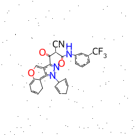 N#CC(C(=O)Nc1cccc(C(F)(F)F)c1)C(=O)c1nn(C2C=CCC=C2)c2c1=COC1=CC=CCC=21